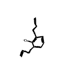 C=CCc1cccc(CC=C)c1[O]